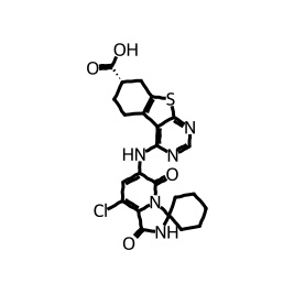 O=C1NC2(CCCCC2)n2c1c(Cl)cc(Nc1ncnc3sc4c(c13)CC[C@H](C(=O)O)C4)c2=O